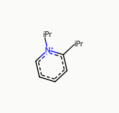 CC(C)c1cccc[n+]1C(C)C